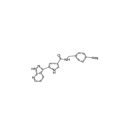 N#Cc1ccc(CNC(=O)c2c[nH]c(-c3n[nH]c4ncccc34)c2)cc1